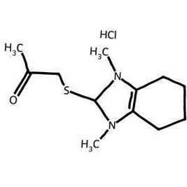 CC(=O)CSC1N(C)C2=C(CCCC2)N1C.Cl